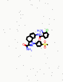 CS(=O)(=O)c1ccc(-n2nc(C(N)=O)c3c2-c2cc(NC(=O)c4cccc(Cl)c4N)ccc2CC3)cc1